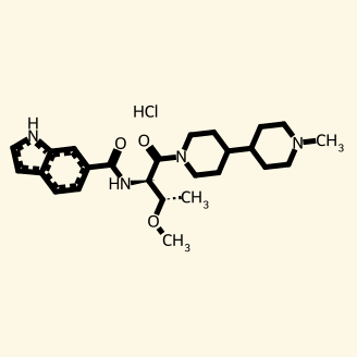 CO[C@@H](C)[C@@H](NC(=O)c1ccc2cc[nH]c2c1)C(=O)N1CCC(C2CCN(C)CC2)CC1.Cl